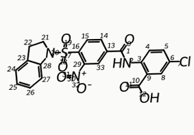 O=C(Nc1ccc(Cl)cc1C(=O)O)c1ccc(S(=O)(=O)N2CCc3ccccc32)c([N+](=O)[O-])c1